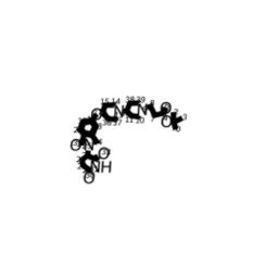 CC(C)(C)OC(=O)CCN1CCC(N2CCC(Oc3ccc4c(c3)CN(C3CCC(=O)NC3=O)C4=O)CC2)CC1